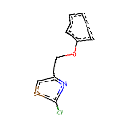 Clc1nc(COc2ccccc2)cs1